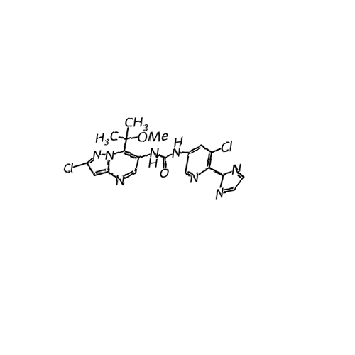 COC(C)(C)c1c(NC(=O)Nc2cnc(C3N=CC=N3)c(Cl)c2)cnc2cc(Cl)nn12